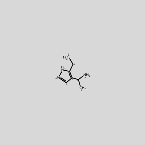 CCc1[nH]ncc1C(C)N